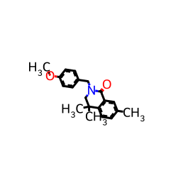 COc1ccc(CN2CC(C)(C)c3ccc(C)cc3C2=O)cc1